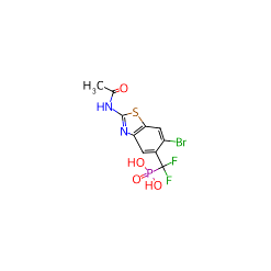 CC(=O)Nc1nc2cc(C(F)(F)P(=O)(O)O)c(Br)cc2s1